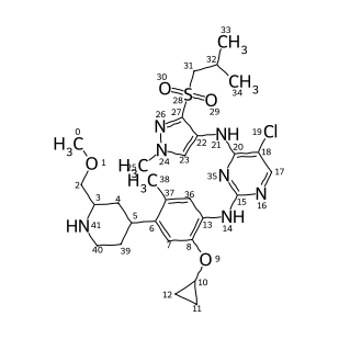 COCC1CC(c2cc(OC3CC3)c(Nc3ncc(Cl)c(Nc4cn(C)nc4S(=O)(=O)CC(C)C)n3)cc2C)CCN1